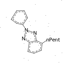 CCCCCc1cccc2nn(-c3ccccc3)nc12